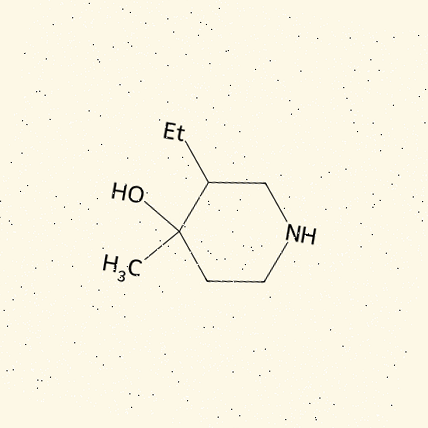 CCC1CNCCC1(C)O